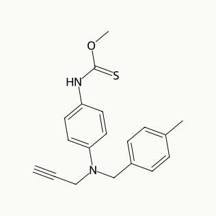 C#CCN(Cc1ccc(C)cc1)c1ccc(NC(=S)OC)cc1